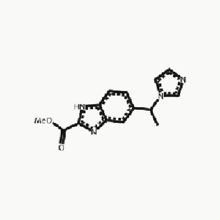 COC(=O)c1nc2cc(C(C)n3ccnc3)ccc2[nH]1